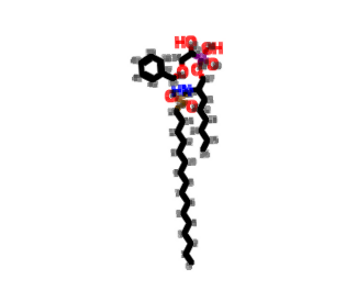 CCCCCCCCCCCCCCCCS(=O)(=O)NC(CCCCCC)COP(=O)(O)C(O)COCc1ccccc1